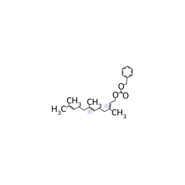 CC(C)=CCC/C(C)=C/CC/C(C)=C/COC(=O)OCc1ccccc1